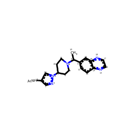 CC(=O)Nc1cnn(C2CCN(C(C)c3ccc4nccnc4c3)CC2)c1